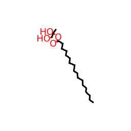 CCCCCCCCCCCCCCCCCC(=O)OC(C)(O)CO